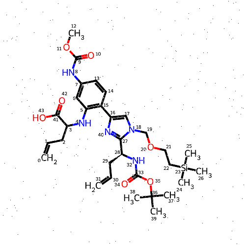 C=CCC(Nc1cc(NC(=O)OC)ccc1-c1cn(COCC[Si](C)(C)C)c([C@H](CC=C)NC(=O)OC(C)(C)C)n1)C(=O)O